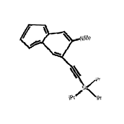 CNc1cc2ccccc2cc1C#C[Si](C(C)C)(C(C)C)C(C)C